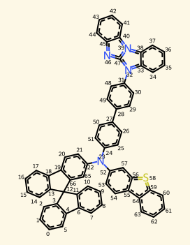 c1ccc2c(c1)-c1ccccc1C21c2ccccc2-c2ccc(N(c3ccc(-c4ccc(-n5c6ccccc6n6c7ccccc7nc56)cc4)cc3)c3ccc4c(c3)sc3ccccc34)cc21